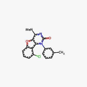 CNc1nc(=O)n(-c2cccc(C)c2)c2c1oc1cccc(Cl)c12